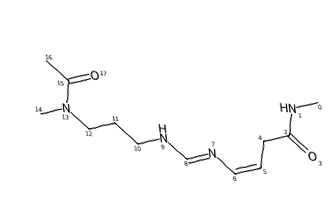 CNC(=O)C/C=C\N=C\NCCCN(C)C(C)=O